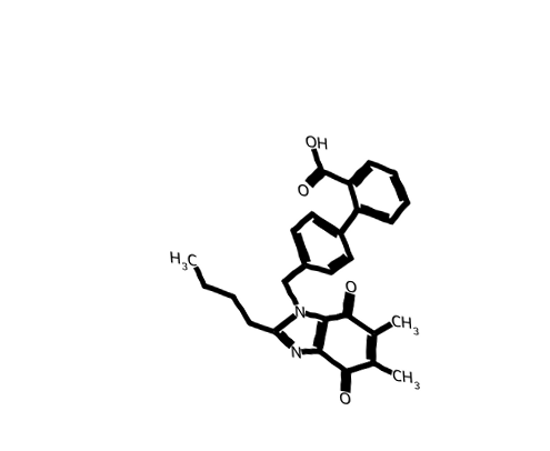 CCCCc1nc2c(n1Cc1ccc(-c3ccccc3C(=O)O)cc1)C(=O)C(C)=C(C)C2=O